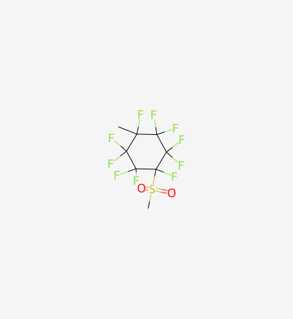 CC1(F)C(F)(F)C(F)(F)C(F)(S(C)(=O)=O)C(F)(F)C1(F)F